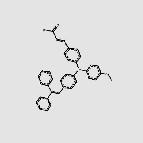 CCc1ccc(N(c2ccc(C=C(c3ccccc3)c3ccccc3)cc2)c2ccc(/C=C/C(=O)O)cc2)cc1